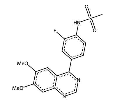 COc1cc2ncnc(-c3ccc(NS(C)(=O)=O)c(F)c3)c2cc1OC